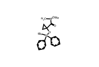 CON(C)C(=O)C1(O[Si](c2ccccc2)(c2ccccc2)C(C)(C)C)CC1